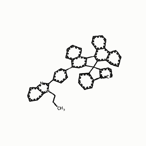 CCCn1c(-c2ccc(-c3cc4c(c5ccccc35)-c3c(c5ccccc5c5ccccc35)C43c4ccccc4-c4ccccc43)cc2)nc2ccccc21